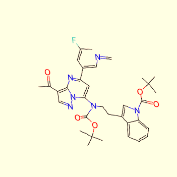 C=N/C=C(\C=C(/C)F)c1cc(N(CCc2cn(C(=O)OC(C)(C)C)c3ccccc23)C(=O)OC(C)(C)C)n2ncc(C(C)=O)c2n1